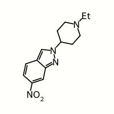 CCN1CCC(n2cc3ccc([N+](=O)[O-])cc3n2)CC1